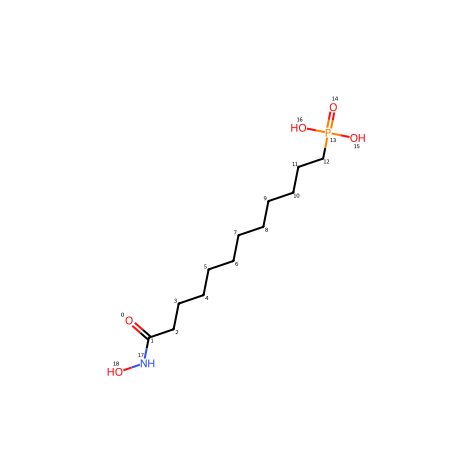 O=C(CCCCCCCCCCCP(=O)(O)O)NO